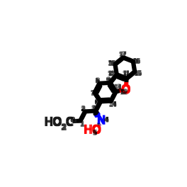 O=C(O)CCC(=NO)c1ccc2c3c(oc2c1)CCCC3